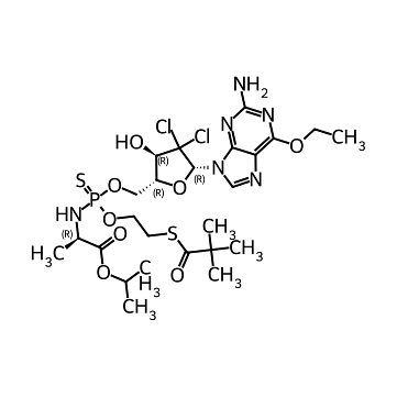 CCOc1nc(N)nc2c1ncn2[C@@H]1O[C@H](COP(=S)(N[C@H](C)C(=O)OC(C)C)OCCSC(=O)C(C)(C)C)[C@@H](O)C1(Cl)Cl